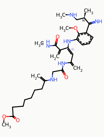 C=C(/C=C(/Nc1cccc(C(=N)[C@H](C)CNC)c1OC)C(=C)C(=O)NC)NC(=O)CNC(=C)CCCCCCC(=O)OC